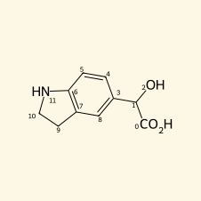 O=C(O)C(O)c1ccc2c(c1)CCN2